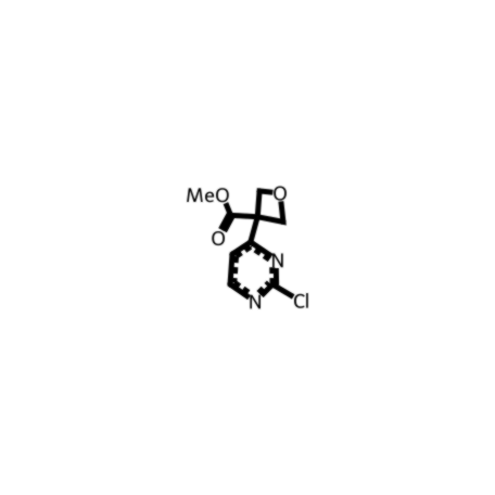 COC(=O)C1(c2ccnc(Cl)n2)COC1